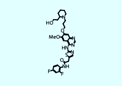 COc1cc2c(Nc3ncc(CC(=O)Nc4ccc(F)cc4F)s3)ncnc2cc1OCCCN1CCCCC1CCO